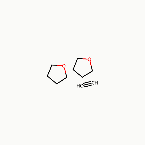 C#C.C1CCOC1.C1CCOC1